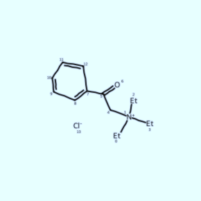 CC[N+](CC)(CC)CC(=O)c1ccccc1.[Cl-]